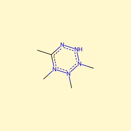 Cc1n[nH]n(C)n(C)n1C